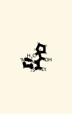 CCc1sc2cncn2c1C(O)C1(C)CCCC1